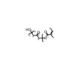 CC=C(C)C(=O)OC(C)(C)CC(=O)CC(C)(C)O